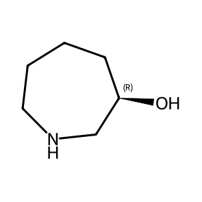 O[C@@H]1CCCCNC1